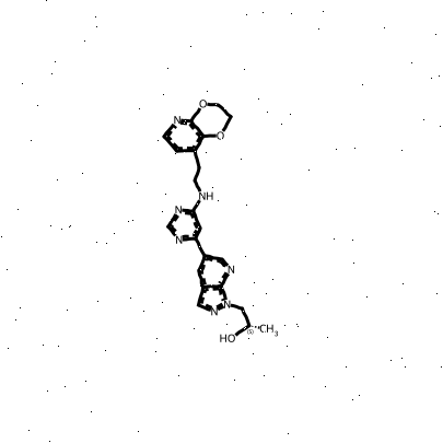 C[C@H](O)Cn1ncc2cc(-c3cc(NCCc4ccnc5c4OCCO5)ncn3)cnc21